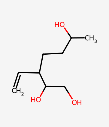 C=CC(CCC(C)O)C(O)CO